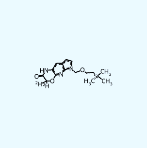 [2H]C1([2H])Oc2nc3c(ccn3COCC[Si](C)(C)C)cc2NC1=O